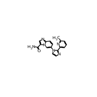 Cc1cccc(-c2nccn2-c2ccc3ncc(C(N)=O)n3c2)n1